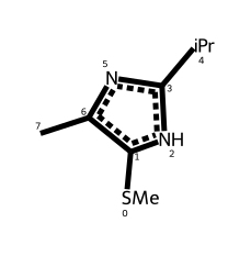 CSc1[nH]c(C(C)C)nc1C